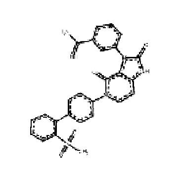 CS(=O)(=O)c1ccccc1-c1ccc(-n2ccc3[nH]c(=O)n(-c4cccc(C(=N)N)c4)c3c2=O)cc1